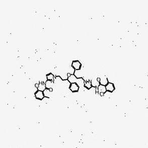 Cc1cccc(Cl)c1C(=O)Nc1ccn(CCC(OC(CCn2ccc(NC(=O)c3c(C)cccc3Cl)n2)c2ccccc2)c2ccccc2)n1